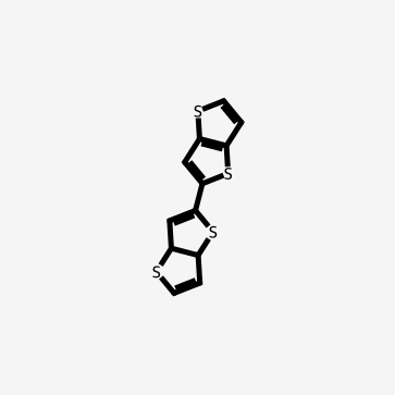 C1=CC2SC(c3cc4sccc4s3)=CC2S1